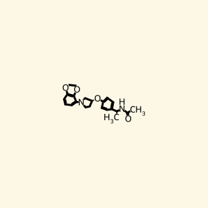 CC(=O)N[C@@H](C)c1ccc(O[C@@H]2CCN(c3cccc4c3OCCO4)C2)cc1